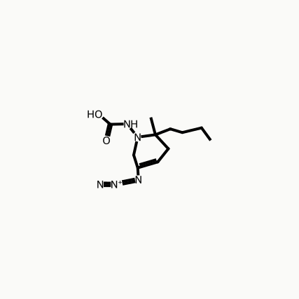 CCCCC1(C)CC=C(N=[N+]=[N-])CN1NC(=O)O